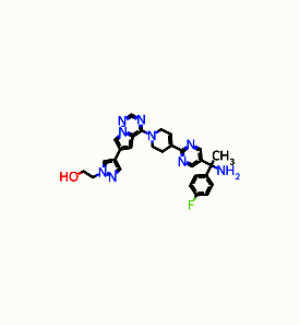 CC(N)(c1ccc(F)cc1)c1cnc(C2=CCN(c3ncnn4cc(-c5cnn(CCO)c5)cc34)CC2)nc1